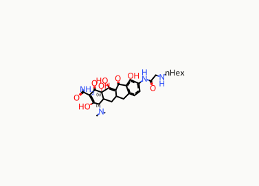 CCCCCCNCC(=O)Nc1ccc2c(c1O)C(=O)C1=C(O)[C@]3(O)C(=O)C(C(N)=O)=C(O)[C@@H](N(C)C)C3CC1C2